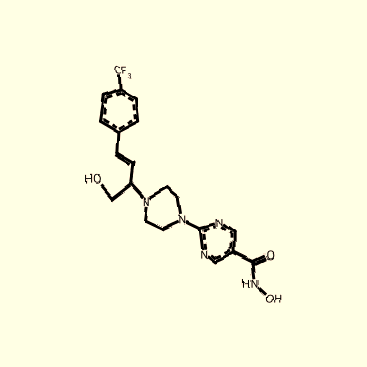 O=C(NO)c1cnc(N2CCN(C(/C=C/c3ccc(C(F)(F)F)cc3)CO)CC2)nc1